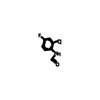 O=CNc1ccc(F)cc1Cl